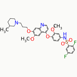 COc1cc2c(Oc3ccc(NS(=O)(=O)c4cc(F)ccc4F)cc3OC)ccnc2cc1OCCCN1CCCC(C)C1